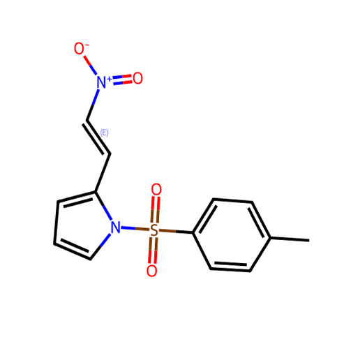 Cc1ccc(S(=O)(=O)n2cccc2/C=C/[N+](=O)[O-])cc1